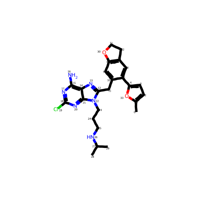 Cc1ccc(-c2cc3c(cc2Cc2nc4c(N)nc(Cl)nc4n2CCCNC(C)C)OCC3)o1